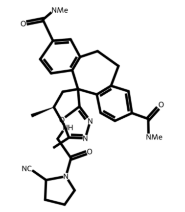 CNC(=O)c1ccc2c(c1)CCc1cc(C(=O)NC)ccc1C2(C[C@H](C)NCC(=O)N1CCCC1C#N)c1nnc(C)o1